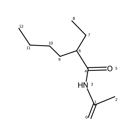 C=C(C)NC(=O)C(CC)CCCC